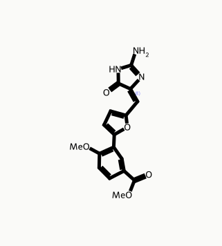 COC(=O)c1ccc(OC)c(-c2ccc(/C=C3/N=C(N)NC3=O)o2)c1